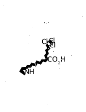 O=C(O)C(CCCCCCCCc1ccc[nH]1)CCCCC[Si](Cl)(Cl)Cl